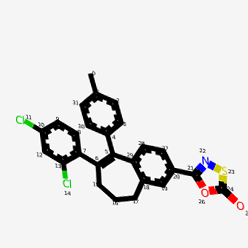 Cc1ccc(C2=C(c3ccc(Cl)cc3Cl)CCCc3cc(-c4nsc(=O)o4)ccc32)cc1